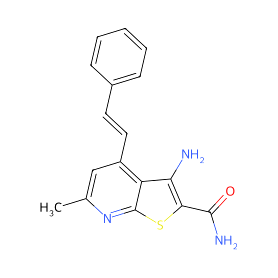 Cc1cc(/C=C/c2ccccc2)c2c(N)c(C(N)=O)sc2n1